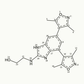 Cc1noc(C)c1-c1cc(-c2c(C)noc2C)c2nc(NCCO)[nH]c2c1